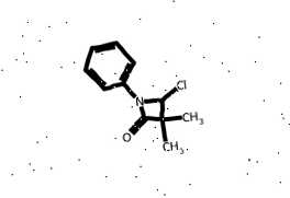 CC1(C)C(=O)N(c2ccccc2)C1Cl